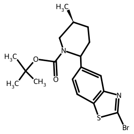 C[C@H]1CCC(c2ccc3sc(Br)nc3c2)N(C(=O)OC(C)(C)C)C1